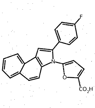 O=C(O)c1ccc(-n2c(-c3ccc(F)cc3)cc3c4ccccc4ccc32)o1